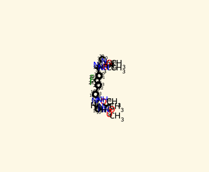 COC(=O)N[C@H](C(=O)N1[C@@H]2CC[C@@H](C2)[C@H]1c1nc2ccc(-c3ccc4c(c3)C(F)(F)c3cc(-c5cnc([C@@H]6CCCN6C(=O)OC(C)(C)C)[nH]5)ccc3-4)cc2[nH]1)C(C)C